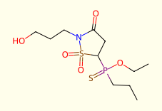 CCCP(=S)(OCC)C1CC(=O)N(CCCO)S1(=O)=O